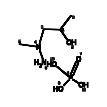 CC(O)CN(C)N.O=P(O)(O)O